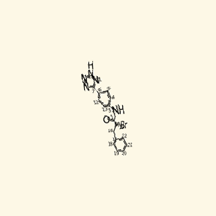 O=C(Nc1ccc(-c2nn[nH]n2)cc1)[C@H](Br)Cc1ccccc1